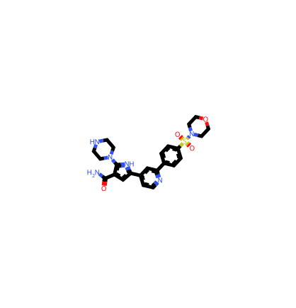 NC(=O)c1cc(-c2ccnc(-c3ccc(S(=O)(=O)N4CCOCC4)cc3)c2)[nH]c1N1CCNCC1